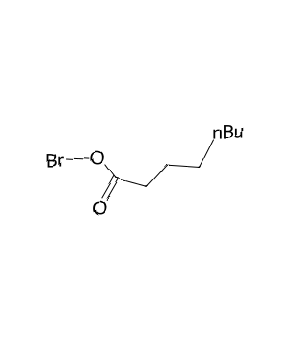 CCCCCCCC(=O)OBr